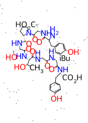 CC[C@H](C)[C@H](NC(=O)CNC(=O)[C@@H](NC(=O)[C@H](CO)NC(=O)[C@@H]1CCCN1C(=O)[C@H](CC(=O)O)NC(=O)[C@@H](N)Cc1ccc(O)cc1)[C@@H](C)O)C(=O)N[C@@H](Cc1ccc(O)cc1)C(=O)O